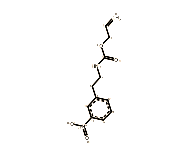 C=CCOC(=O)NCCc1cccc([N+](=O)[O-])c1